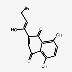 CC(C)CC=C(O)C1=CC(=O)c2c(O)ccc(O)c2C1=O